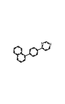 c1ccc2c(-c3ccc(-c4ccncn4)cc3)cccc2c1